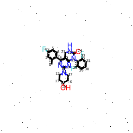 Cc1cc(F)ccc1-c1nc(N2CCC(O)CC2)nc2c1CNC(=O)N2c1c(F)cccc1F